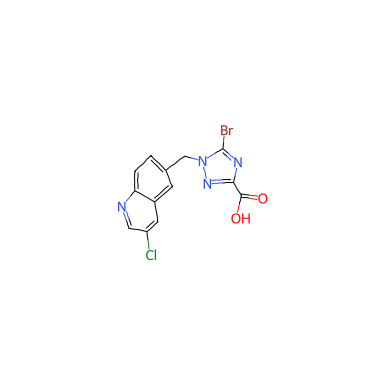 O=C(O)c1nc(Br)n(Cc2ccc3ncc(Cl)cc3c2)n1